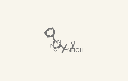 CC(C)(NC(=O)O)c1nc(-c2ccccc2)no1